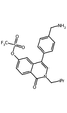 CC(C)Cn1[c]c(-c2ccc(CN)cc2)c2cc(OS(=O)(=O)C(F)(F)F)ccc2c1=O